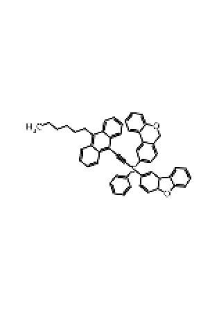 CCCCCCc1c2ccccc2c(C#CS(C2=CC3c4ccccc4OC3C=C2)(c2ccccc2)c2ccc3c(c2)-c2ccccc2OC3)c2ccccc12